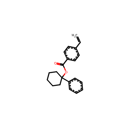 C=Cc1ccc(C(=O)OC2(c3ccccc3)CCCCC2)cc1